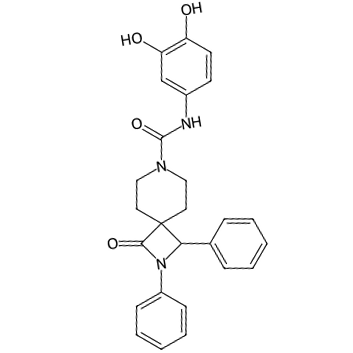 O=C(Nc1ccc(O)c(O)c1)N1CCC2(CC1)C(=O)N(c1ccccc1)C2c1ccccc1